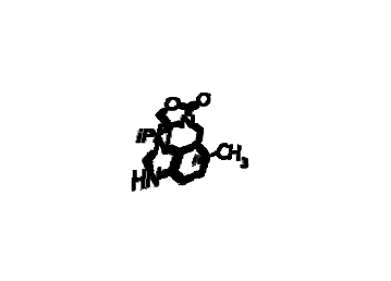 CC(C)[C@H]1COC(=O)N1CC1C2=C(CC[C@H]1C)NCN2